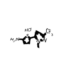 Cl.Cn1nc(C(F)(F)F)cc1-c1ccc(N)s1